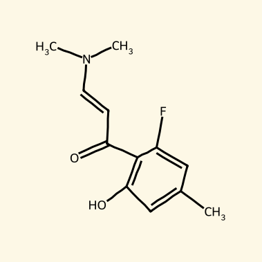 Cc1cc(O)c(C(=O)C=CN(C)C)c(F)c1